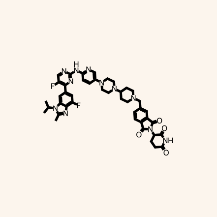 Cc1nc2c(F)cc(-c3nc(Nc4ccc(N5CCN(C6CCN(Cc7ccc8c(c7)C(=O)N(C7CCC(=O)NC7=O)C8=O)CC6)CC5)cn4)ncc3F)cc2n1C(C)C